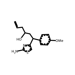 C=CCC(O)CC(c1ccc(OC)cc1)c1csc(N)n1